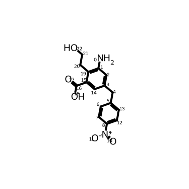 Nc1cc(Cc2ccc([N+](=O)[O-])cc2)cc(C(=O)O)c1CCO